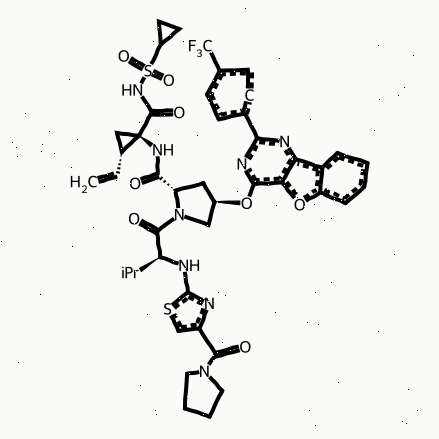 C=C[C@@H]1C[C@]1(NC(=O)[C@@H]1C[C@@H](Oc2nc(-c3ccc(C(F)(F)F)cc3)nc3c2oc2ccccc23)CN1C(=O)[C@@H](Nc1nc(C(=O)N2CCCC2)cs1)C(C)C)C(=O)NS(=O)(=O)C1CC1